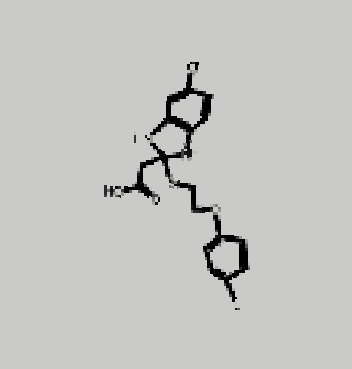 O=C(O)CC1(SCCOc2ccc(Cl)cc2)Nc2ccc(Cl)cc2N1